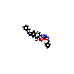 CN1C(=O)[C@@H](NC(=O)c2cnc(Cc3ccccc3)o2)CSc2cc3c(ccn3Cc3ccccc3)cc21